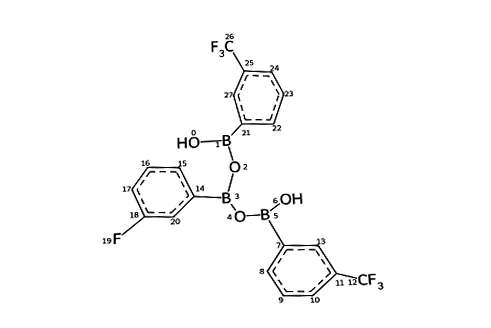 OB(OB(OB(O)c1cccc(C(F)(F)F)c1)c1cccc(F)c1)c1cccc(C(F)(F)F)c1